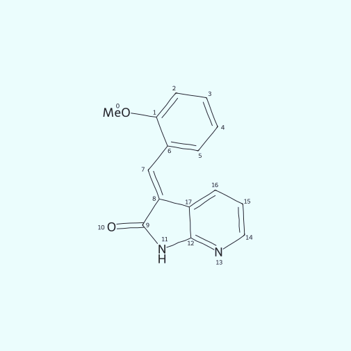 COc1ccccc1C=C1C(=O)Nc2ncccc21